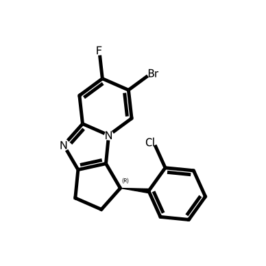 Fc1cc2nc3c(n2cc1Br)[C@@H](c1ccccc1Cl)CC3